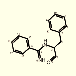 N=C(N[C@H](C=O)Cc1ccccc1)c1ccccc1